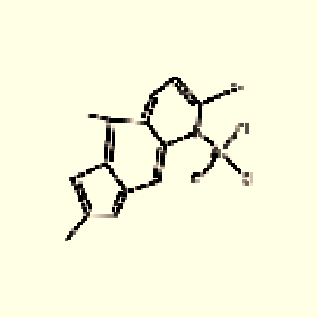 Cc1cc2cc3c(ccc(Br)[n]3[Zr]([Cl])([Cl])[Cl])c(C)c2c1